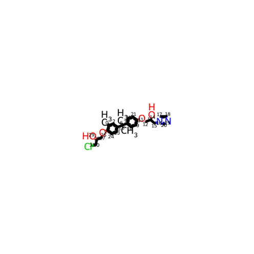 Cc1cc(C(C)(C)c2ccc(OC[C@H](O)Cn3ccnc3)cc2)ccc1OCC(O)CCl